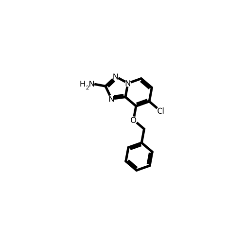 Nc1nc2c(OCc3ccccc3)c(Cl)ccn2n1